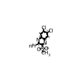 CCCc1nc2cc(Cl)c(Cl)cc2nc1S(C)(=O)=O